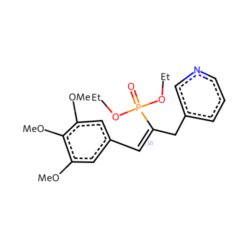 CCOP(=O)(OCC)/C(=C\c1cc(OC)c(OC)c(OC)c1)Cc1cccnc1